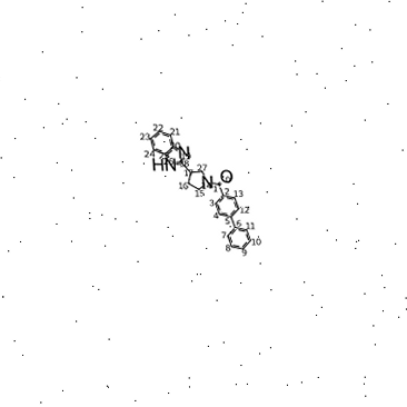 O=C(c1ccc(-c2ccccc2)cc1)N1CCC(c2nc3ccccc3[nH]2)C1